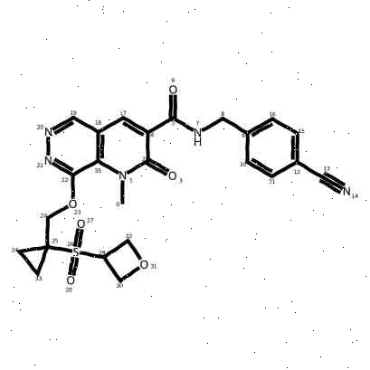 Cn1c(=O)c(C(=O)NCc2ccc(C#N)cc2)cc2cnnc(OCC3(S(=O)(=O)C4COC4)CC3)c21